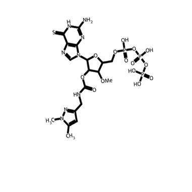 COC1C(COP(=O)(O)OP(=O)(O)OP(=O)(O)O)OC(n2cnc3c(=S)[nH]c(N)nc32)C1OC(=O)NCc1cc(C)n(C)n1